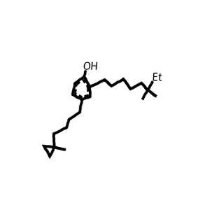 CCC(C)(C)CCCCCc1cc(CCCCC2(C)CC2)ccc1O